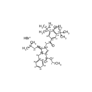 Br.CCOC(=O)c1cn(CC(=O)c2cc(C(C)(C)C)c(O)c(C(C)(C)C)c2)c(=NCC(C)C)n1Cc1ccccc1